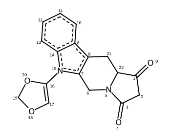 O=C1CC(=O)N2Cc3c(c4ccccc4n3C3=COCO3)CC12